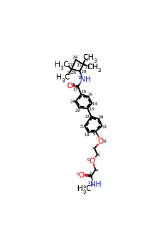 CNC(=O)COCCOc1ccc(-c2ccc(C(=O)NC3C(C)(C)CC3(C)C)cc2)cc1